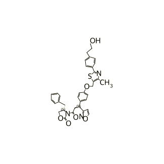 Cc1nc(-c2ccc(CCCO)cc2)sc1COc1ccc([C@H](CC(=O)N2C(=O)OC[C@@H]2Cc2ccccc2)c2ccon2)cc1